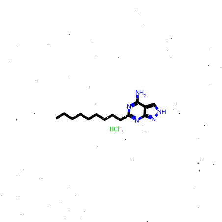 CCCCCCCCCc1nc(N)c2c[nH]nc2n1.Cl